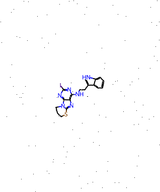 Ic1nc(NCCc2c[nH]c3ccccc23)c2nc3n(c2n1)CCCS3